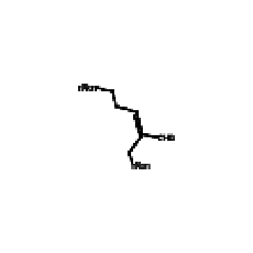 CCCCCCCCCCCC=C(C=O)CCCCCCCCCC